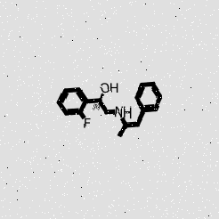 CC(Cc1ccccc1)NC[C@H](O)c1ccccc1F